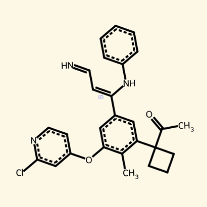 CC(=O)C1(c2cc(/C(=C/C=N)Nc3ccccc3)cc(Oc3ccnc(Cl)c3)c2C)CCC1